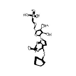 O=P(O)(O)COC[C@H]1O[C@@H](n2ccc3c(SC4CCCC4)nc(Cl)nc32)[C@H](O)[C@@H]1O